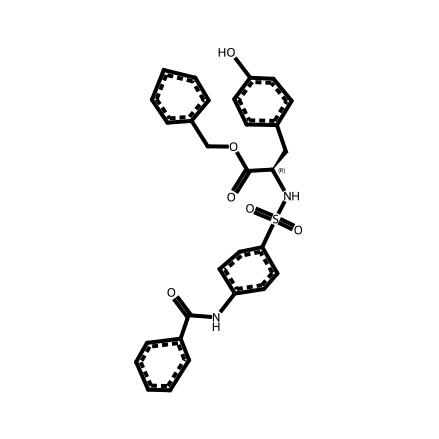 O=C(Nc1ccc(S(=O)(=O)N[C@H](Cc2ccc(O)cc2)C(=O)OCc2ccccc2)cc1)c1ccccc1